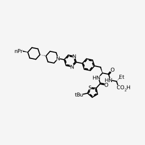 CCC[C@H]1CC[C@H](C2CCN(c3cnc(-c4ccc(C[C@H](NC(=O)c5ccc(C(C)(C)C)s5)C(=O)N[C@H](CC)C(=O)O)cc4)nc3)CC2)CC1